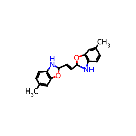 Cc1ccc2c(c1)OC(C=CC1Nc3ccc(C)cc3O1)N2